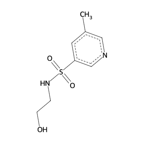 Cc1cncc(S(=O)(=O)NCCO)c1